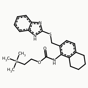 C[Si](C)(C)CCOC(=O)Nc1c(CSc2nc3ccccc3[nH]2)ccc2c1CCCC2